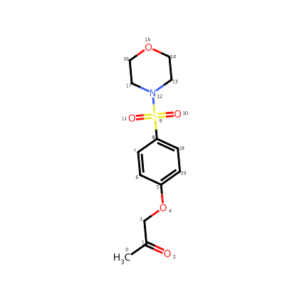 CC(=O)COc1ccc(S(=O)(=O)N2CCOCC2)cc1